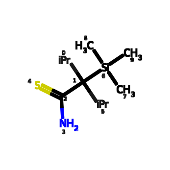 CC(C)C(C(N)=S)(C(C)C)[Si](C)(C)C